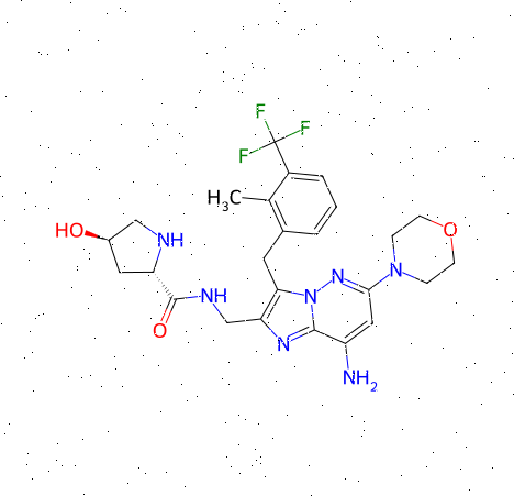 Cc1c(Cc2c(CNC(=O)[C@@H]3C[C@@H](O)CN3)nc3c(N)cc(N4CCOCC4)nn23)cccc1C(F)(F)F